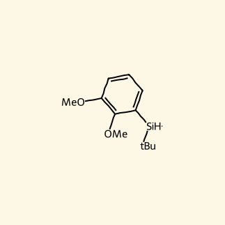 COc1cccc([SiH]C(C)(C)C)c1OC